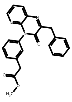 COC(=O)Cc1cccc(-n2c(=O)c(Cc3ccccc3)nc3cccnc32)c1